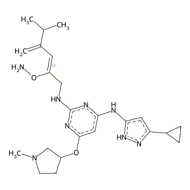 C=C(/C=C(/CNc1nc(Nc2cc(C3CC3)n[nH]2)cc(OC2CCN(C)C2)n1)ON)C(C)C